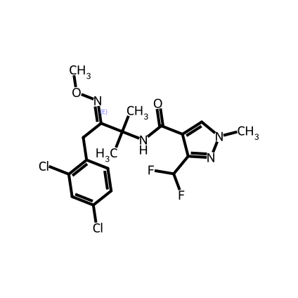 CO/N=C(\Cc1ccc(Cl)cc1Cl)C(C)(C)NC(=O)c1cn(C)nc1C(F)F